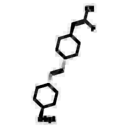 CCCCCCC[C@H]1CC[C@H](C=C[C@H]2CC[C@H](C=C(F)C#N)CC2)CC1